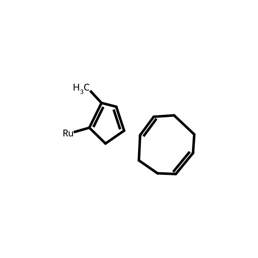 C1=C\CC/C=C\CC/1.CC1=[C]([Ru])CC=C1